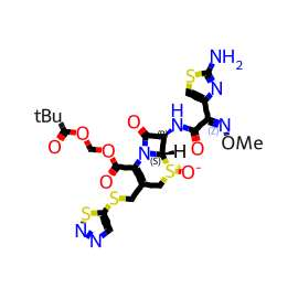 CO/N=C(\C(=O)N[C@@H]1C(=O)N2C(C(=O)OCOC(=O)C(C)(C)C)=C(CSc3cnns3)C[S+]([O-])[C@@H]12)c1csc(N)n1